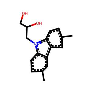 Cc1ccc2c(c1)c1cc(C)ccc1n2CC(O)CO